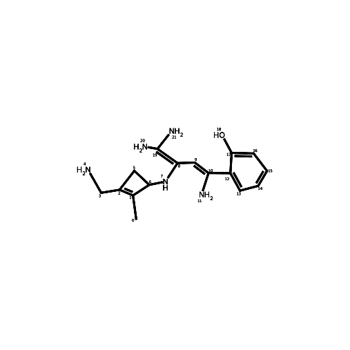 CC1=C(CN)CC1NC(/C=C(\N)c1ccccc1O)=C(N)N